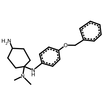 CN(C)C1(Nc2ccc(OCc3ccccc3)cc2)CCC(N)CC1